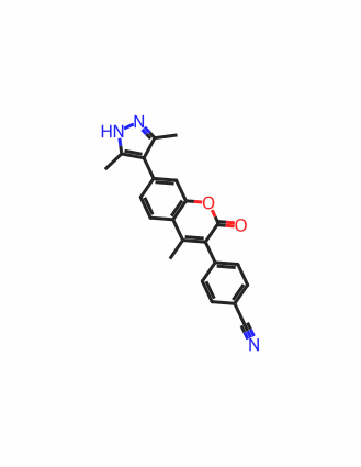 Cc1n[nH]c(C)c1-c1ccc2c(C)c(-c3ccc(C#N)cc3)c(=O)oc2c1